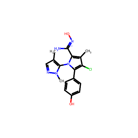 Cc1cnn(C)c1-n1c(/C(N)=N/O)c(C)c(Cl)c1-c1ccc(O)cc1